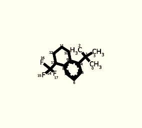 CC(C)(C)c1cccc2c1CCCC2C(F)(F)F